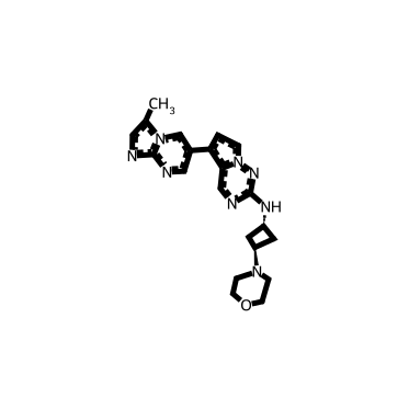 Cc1cnc2ncc(-c3ccn4nc(N[C@H]5C[C@H](N6CCOCC6)C5)ncc34)cn12